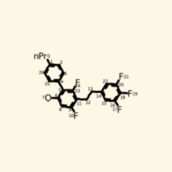 CCCc1ccc(-c2c([O])cc(F)c(CCc3cc(F)c(F)c(F)c3)c2F)cc1